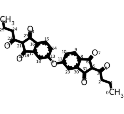 CCCC(=O)C1C(=O)c2ccc(Oc3ccc4c(c3)C(=O)C(C(=O)CCC)C4=O)cc2C1=O